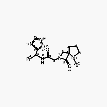 CC(=O)N1CCCC12CN(CC(=O)NC(c1ncno1)C(C)C)C2=O